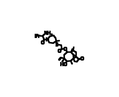 C=C[C@]1(C)C[C@@H](OC(=O)CSC2(C)CCCN(C(=O)C(N)C(C)C)CC2)[C@]2(C)C(C)CC34C(=O)CCC3(C42)[C@@H](C)C1O